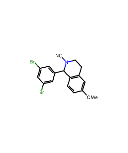 COc1ccc2c(c1)CCN(C#N)C2c1cc(Br)cc(Br)c1